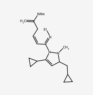 C=C(C/C=C\C(=N/CC)N1C(C2CC2)=CC(CC2CC2)N1C)NC